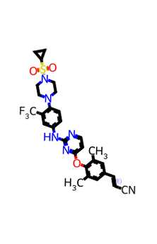 Cc1cc(/C=C/C#N)cc(C)c1Oc1ccnc(Nc2ccc(N3CCN(S(=O)(=O)C4CC4)CC3)c(C(F)(F)F)c2)n1